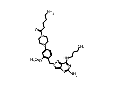 CCCCNc1nc(N)nc2cn(Cc3ccc(N4CCN(C(=O)CCCCN)CC4)cc3OC)nc12